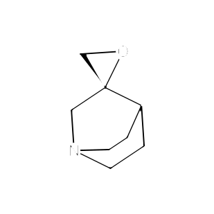 C1CN2CCC1[C@]1(CO1)C2